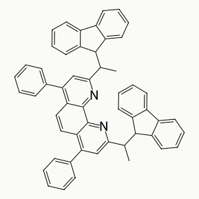 CC(c1cc(-c2ccccc2)c2ccc3c(-c4ccccc4)cc(C(C)C4c5ccccc5-c5ccccc54)nc3c2n1)C1c2ccccc2-c2ccccc21